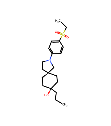 CCC[C@]1(O)CC[C@]2(CCN(c3ccc(S(=O)(=O)CC)cc3)C2)CC1